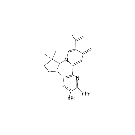 C=C(C)C1=CN2C(=CC1=C)c1nc(CCC)c(CCC)cc1C1CCC(C)(C)C12